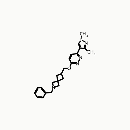 Cc1nn(C)cc1-c1ccc(OCC2CC3(C2)CN(Cc2ccccc2)C3)nn1